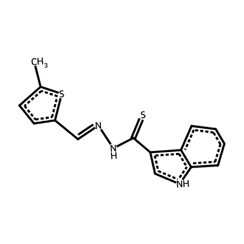 Cc1ccc(/C=N/NC(=S)c2c[nH]c3ccccc23)s1